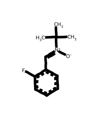 CC(C)(C)[N+]([O-])=Cc1ccccc1F